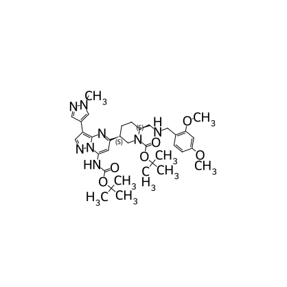 COc1ccc(CNC[C@@H]2CC[C@H](c3cc(NC(=O)OC(C)(C)C)n4ncc(-c5cnn(C)c5)c4n3)CN2C(=O)OC(C)(C)C)c(OC)c1